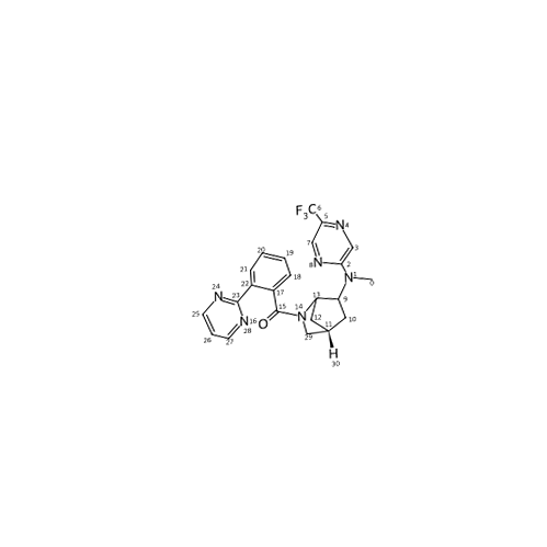 CN(c1cnc(C(F)(F)F)cn1)C1C[C@H]2CC1N(C(=O)c1ccccc1-c1ncccn1)C2